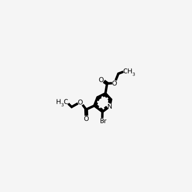 CCOC(=O)c1cnc(Br)c(C(=O)OCC)c1